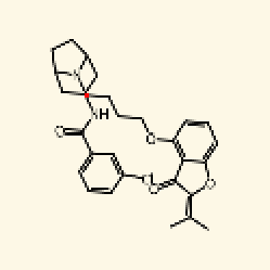 CC(C)=C1Oc2cccc(OCCCCN3C4CCC3CC(NC(=O)c3cccc(Cl)c3)C4)c2C1=O